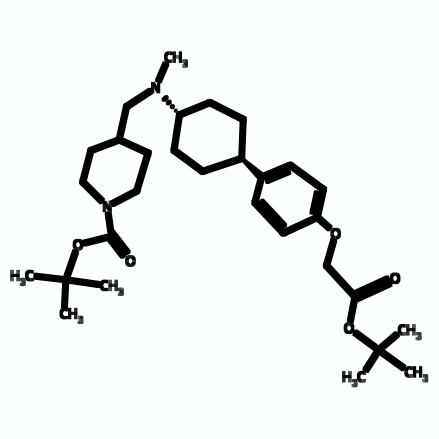 CN(CC1CCN(C(=O)OC(C)(C)C)CC1)[C@H]1CC[C@H](c2ccc(OCC(=O)OC(C)(C)C)cc2)CC1